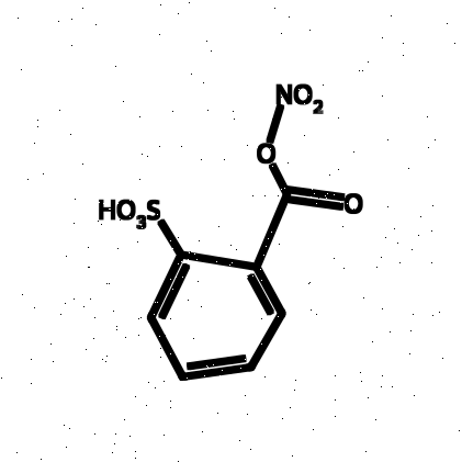 O=C(O[N+](=O)[O-])c1ccccc1S(=O)(=O)O